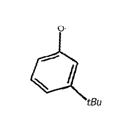 CC(C)(C)c1cccc([O])c1